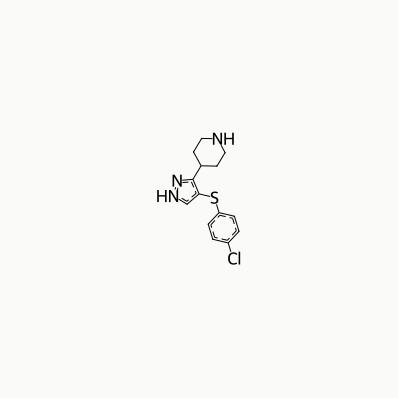 Clc1ccc(Sc2c[nH]nc2C2CCNCC2)cc1